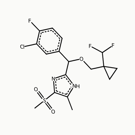 Cc1[nH]c(C(OCC2(C(F)F)CC2)c2ccc(F)c(Cl)c2)nc1S(C)(=O)=O